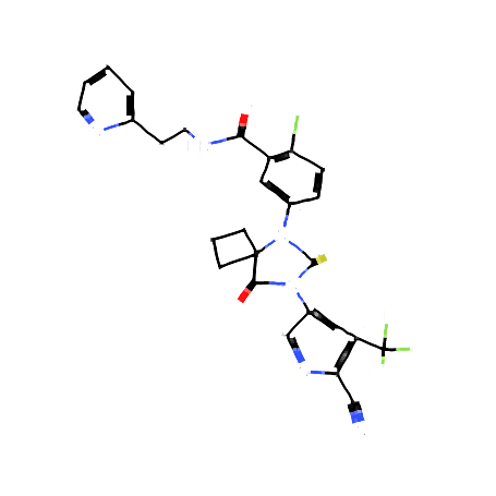 N#Cc1ncc(N2C(=O)C3(CCC3)N(c3ccc(F)c(C(=O)NCCc4ccccn4)c3)C2=S)cc1C(F)(F)F